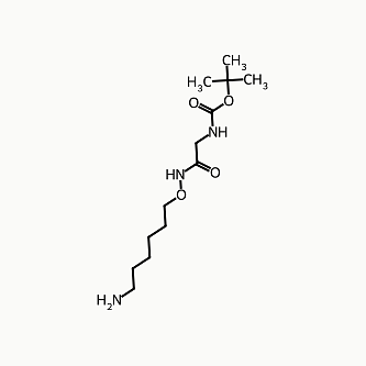 CC(C)(C)OC(=O)NCC(=O)NOCCCCCCN